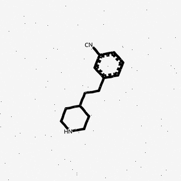 [C-]#[N+]c1cccc(CCC2CCNCC2)c1